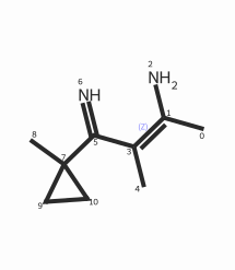 C/C(N)=C(\C)C(=N)C1(C)CC1